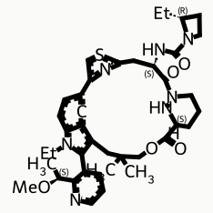 CC[C@@H]1CCN1C(=O)N[C@H]1Cc2nc(cs2)-c2ccc3c(c2)c(c(-c2cccnc2[C@H](C)OC)n3CC)CC(C)(C)COC(=O)[C@@H]2CCCN(N2)C1=O